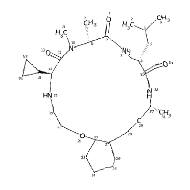 CC(C)C[C@H]1NC(=O)[C@@H](C)N(C)C(=O)[C@H](C2CC2)NCCOC2CCCCC2CC[C@@H](C)NC1=O